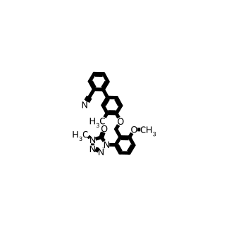 COc1cccc(-n2nnn(C)c2=O)c1COc1ccc(-c2ccccc2C#N)cc1C